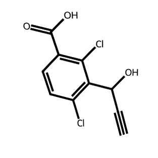 C#CC(O)c1c(Cl)ccc(C(=O)O)c1Cl